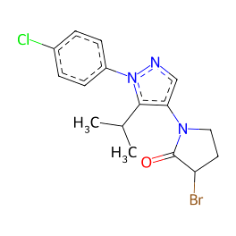 CC(C)c1c(N2CCC(Br)C2=O)cnn1-c1ccc(Cl)cc1